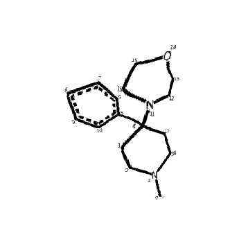 [CH2]N1CCC(c2ccccc2)(N2CCOCC2)CC1